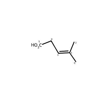 CC(C)=C[CH]C(=O)O